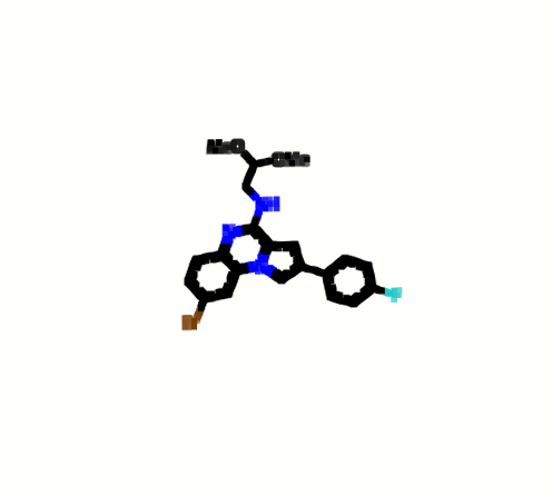 COC(CNc1nc2ccc(Br)cc2n2cc(-c3ccc(F)cc3)cc12)OC